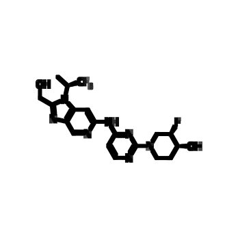 C[C@H](n1c(CO)nc2cnc(Nc3ccnc(N4CC[C@H](O)[C@H](F)C4)n3)cc21)C(F)(F)F